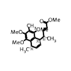 COC(=O)C=C[C@H](C)[C@H]1C=C[C@H](C)c2c(OC)c(OC)c(C)c(OC)c21